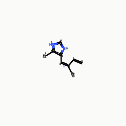 C=C/C(=C\c1nc[nH]c1CC)CC